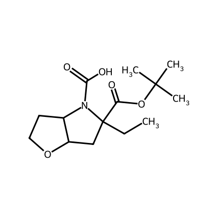 CCC1(C(=O)OC(C)(C)C)CC2OCCC2N1C(=O)O